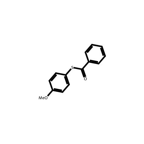 COc1ccc(SC(=O)c2ccccc2)cc1